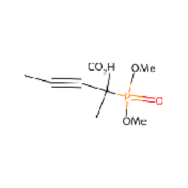 CC#CC(C)(C(=O)O)P(=O)(OC)OC